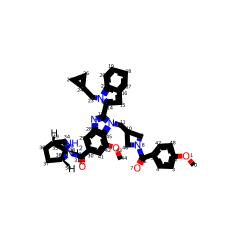 COc1ccc(C(=O)N2CC(Cn3c(-c4cc5ccccc5n4CC4CC4)nc4cc(C(=O)N5C[C@H]6CC[C@@H]5[C@@H]6N)cc(OC)c43)C2)cc1